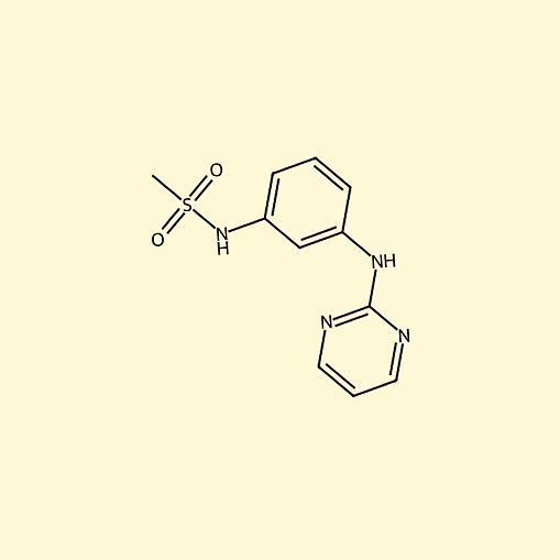 CS(=O)(=O)Nc1cccc(Nc2ncccn2)c1